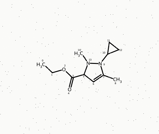 CCOC(=O)C1C=C(C)N(C2CC2)N1C